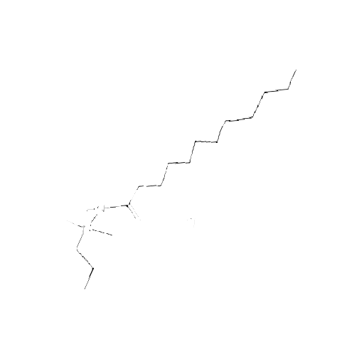 CCCCCCCCCCCC(=O)N[N+](C)(C)CCC.[Cl-]